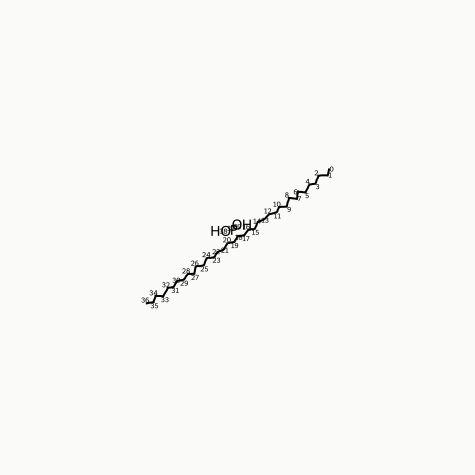 CCCCCCCCCCCCCCCCCCC(CCCCCCCCCCCCCCCCCC)P(O)O